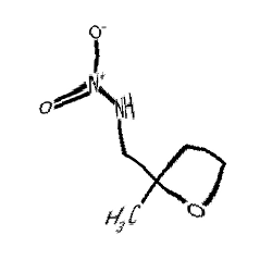 CC1(CN[N+](=O)[O-])CCO1